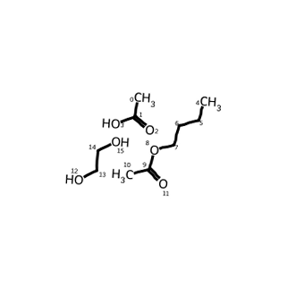 CC(=O)O.CCCCOC(C)=O.OCCO